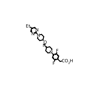 CCc1cnc(N2CCC(ON=C3CCN(c4cc(F)c(CC(=O)O)cc4F)CC3)CC2)nc1